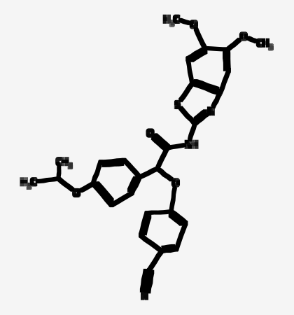 COc1cc2nc(NC(=O)C(Oc3ccc(C#N)cc3)c3ccc(OC(C)C)cc3)sc2cc1OC